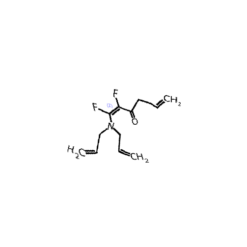 C=CCC(=O)/C(F)=C(/F)N(CC=C)CC=C